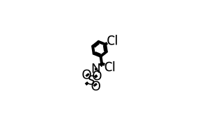 CS(=O)(=O)O/N=C(\Cl)c1cccc(Cl)c1